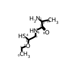 CCOC(S)CNC(=O)C(C)N